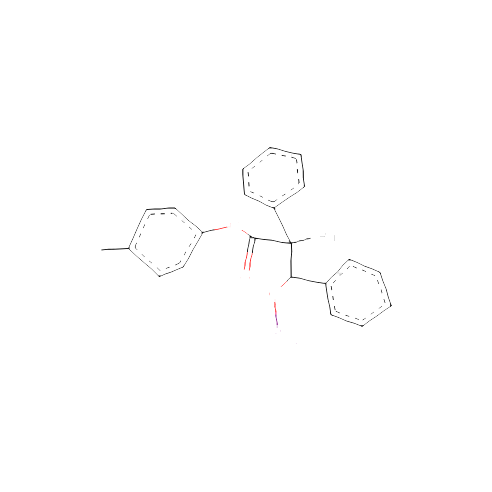 Cc1ccc(OC(=O)C(c2ccccc2)(C(OP)c2ccccc2)C(C)(C)C)cc1